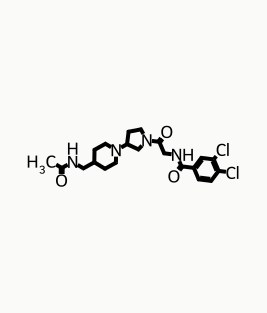 CC(=O)NCC1CCN(C2CCN(C(=O)CNC(=O)c3ccc(Cl)c(Cl)c3)C2)CC1